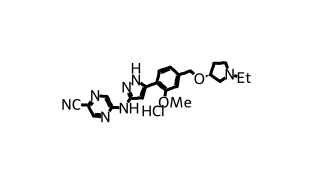 CCN1CC[C@@H](OCc2ccc(-c3cc(Nc4cnc(C#N)cn4)n[nH]3)c(OC)c2)C1.Cl